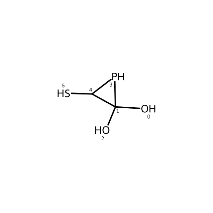 OC1(O)PC1S